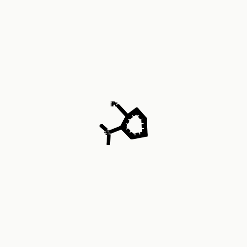 CC(C)c1ccccc1[Si](C)C